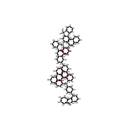 CC1(C)c2ccccc2-c2ccc(N(c3ccccc3-c3ccc4ccccc4c3)c3ccccc3-c3cc4ccc(-c5ccc6ccc(-c7ccccc7N(c7ccc(-c8cccc9sc%10ccccc%10c89)cc7)c7ccccc7-c7cc8ccccc8c8ccccc78)cc6c5)cc4c4ccccc34)cc21